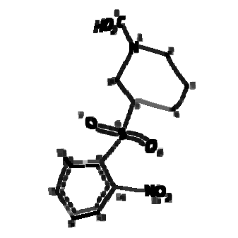 O=C(O)N1CCCC(S(=O)(=O)c2ncccc2[N+](=O)[O-])C1